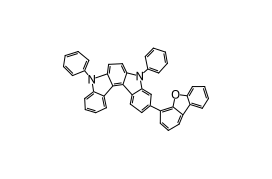 c1ccc(-n2c3ccccc3c3c4c5ccc(-c6cccc7c6oc6ccccc67)cc5n(-c5ccccc5)c4ccc32)cc1